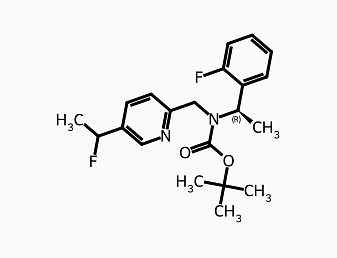 CC(F)c1ccc(CN(C(=O)OC(C)(C)C)[C@H](C)c2ccccc2F)nc1